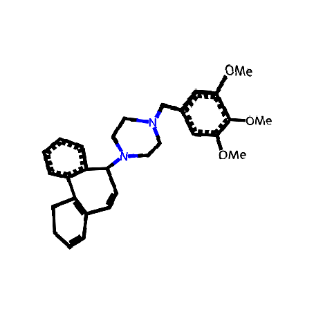 COc1cc(CN2CCN(C3C=CC4=C(CCC=C4)c4ccccc43)CC2)cc(OC)c1OC